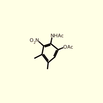 CC(=O)Nc1c(OC(C)=O)cc(C)c(C)c1[N+](=O)[O-]